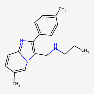 CCCNCc1c(-c2ccc(C)cc2)nc2ccc(C)cn12